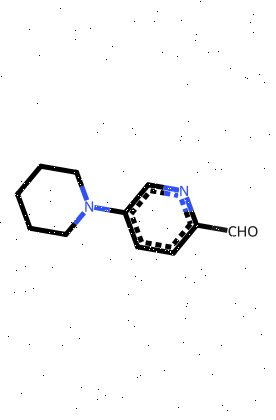 O=Cc1ccc(N2CCCCC2)cn1